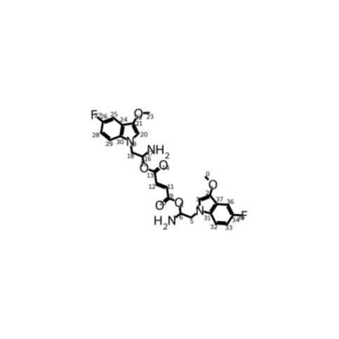 COc1cn(CC(N)OC(=O)/C=C/C(=O)OC(N)Cn2cc(OC)c3cc(F)ccc32)c2ccc(F)cc12